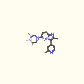 Cc1cc(-c2c(C)nc3ccc(N4C[C@@H](C)N[C@@H](C)C4)nn23)ccn1